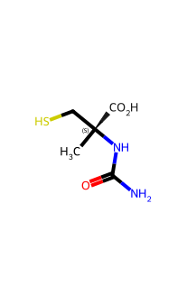 C[C@](CS)(NC(N)=O)C(=O)O